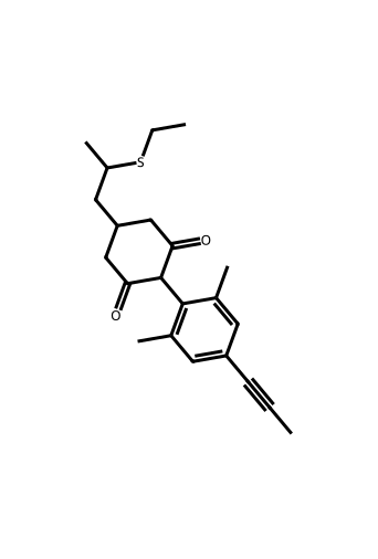 CC#Cc1cc(C)c(C2C(=O)CC(CC(C)SCC)CC2=O)c(C)c1